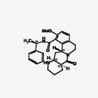 COc1ccc2c(c1C(=O)N[C@H](C)c1ccccc1)[C@H]1C[C@@H]3NCCC[C@@H]3C(=O)N1CC2